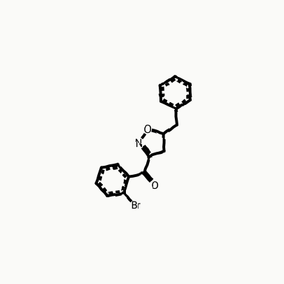 O=C(C1=NOC(Cc2ccccc2)C1)c1ccccc1Br